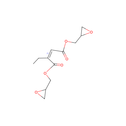 CC/C(=C/C(=O)OCC1CO1)C(=O)OCC1CO1